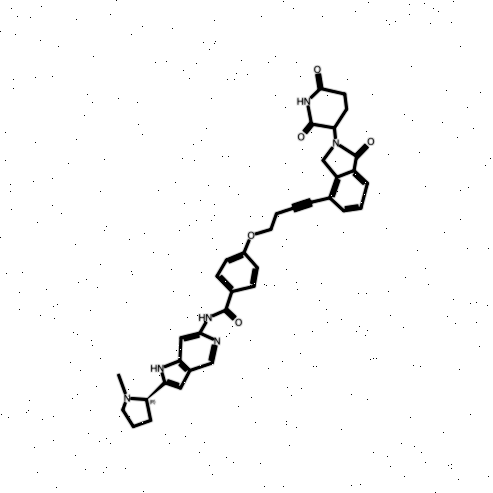 CN1CCC[C@@H]1c1cc2cnc(NC(=O)c3ccc(OCCC#Cc4cccc5c4CN(C4CCC(=O)NC4=O)C5=O)cc3)cc2[nH]1